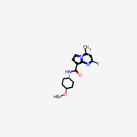 CCCCO[C@H]1CC[C@H](NC(=O)c2ccn3c(C)cc(F)nc23)CC1